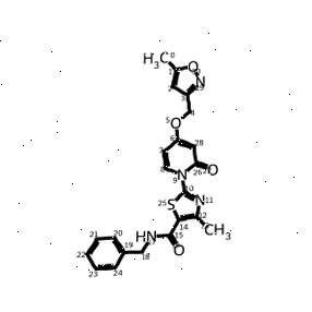 Cc1cc(COc2ccn(-c3nc(C)c(C(=O)NCc4ccccc4)s3)c(=O)c2)no1